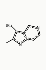 Cc1nn2ccncc2c1C(C)(C)C